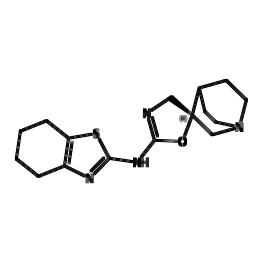 C1CCc2sc(NC3=NC[C@@]4(CN5CCC4CC5)O3)nc2C1